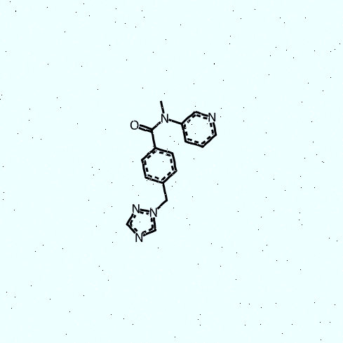 CN(C(=O)c1ccc(Cn2cncn2)cc1)c1cccnc1